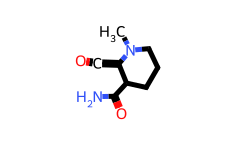 CN1CCCC(C(N)=O)C1=C=O